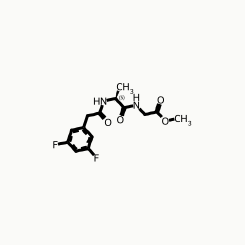 COC(=O)CNC(=O)[C@H](C)NC(=O)Cc1cc(F)cc(F)c1